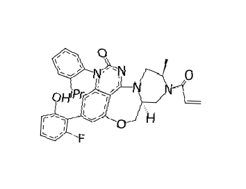 C=CC(=O)N1C[C@H]2COc3cc(-c4c(O)cccc4F)cc4c3c(nc(=O)n4-c3ccccc3C(C)C)N2C[C@H]1C